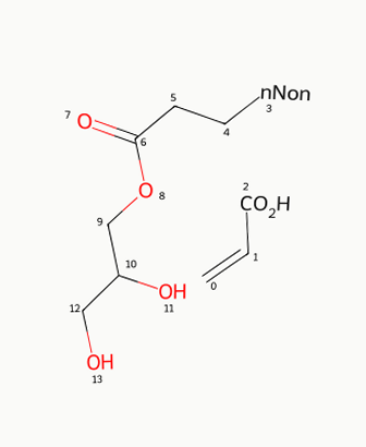 C=CC(=O)O.CCCCCCCCCCCC(=O)OCC(O)CO